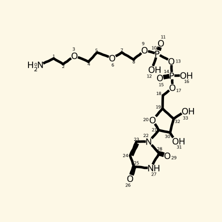 NCCOCCOCCOP(=O)(O)OP(=O)(O)OCC1OC(n2ccc(=O)[nH]c2=O)C(O)C1O